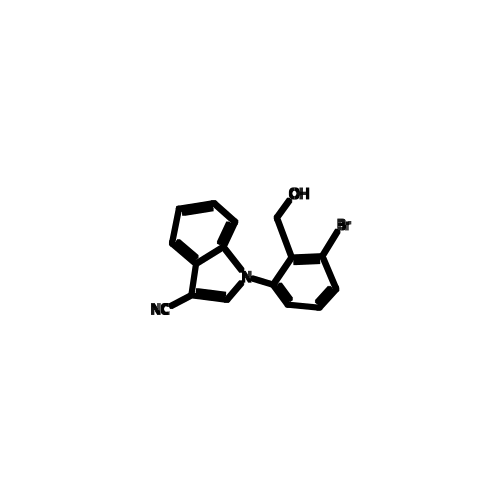 N#Cc1cn(-c2cccc(Br)c2CO)c2ccccc12